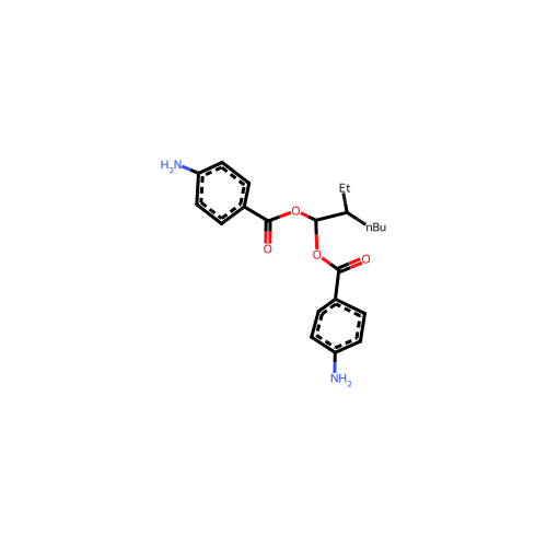 CCCCC(CC)C(OC(=O)c1ccc(N)cc1)OC(=O)c1ccc(N)cc1